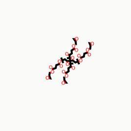 CC(C)(CC1OC(C)(C(=O)CCC(=O)OCC2CO2)C12C(CC(C)(C)OC(=O)CCC(=O)OCC1CO1)OC2(C)C(=O)CCC(=O)OCC1CO1)OC(=O)CCC(=O)OCC1CO1